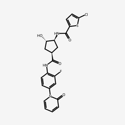 O=C(N[C@H]1C[C@@H](C(=O)Nc2ccc(-n3ccccc3=O)cc2F)C[C@@H]1O)c1ccc(Cl)s1